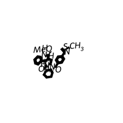 COC[C@@H]1Nc2ccccc2[C@H]2[C@H]1CCN2C(=O)[C@H]1CCCC[C@H]1NC(=O)c1ccc(-c2csc(C)n2)cc1